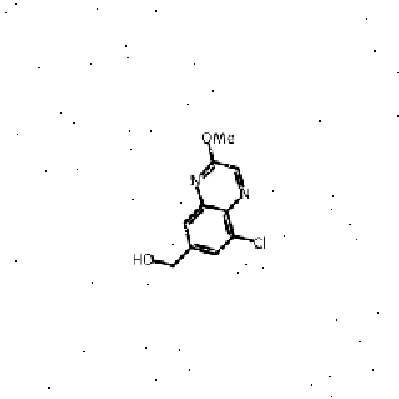 COc1cnc2c(Cl)cc(CO)cc2n1